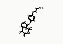 NCCCc1ccc(Oc2cccc3c2C(=O)NC(=O)C3=O)cc1